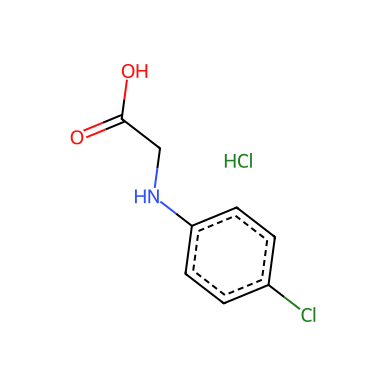 Cl.O=C(O)CNc1ccc(Cl)cc1